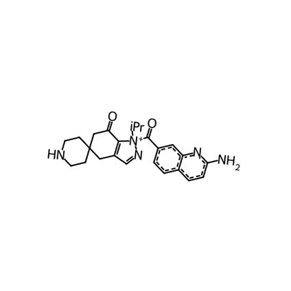 CC(C)[N+]1(C(=O)c2ccc3ccc(N)nc3c2)N=CC2=C1C(=O)CC1(CCNCC1)C2